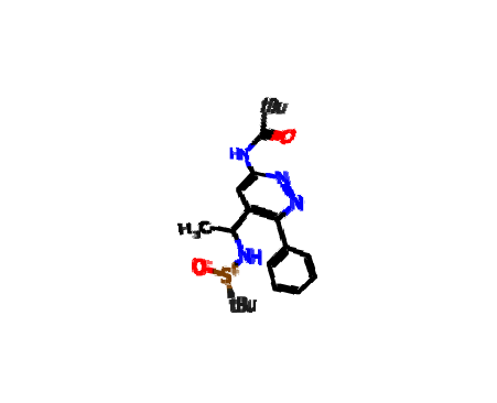 CC(N[S@+]([O-])C(C)(C)C)c1cc(NC(=O)C(C)(C)C)nnc1-c1ccccc1